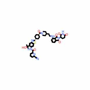 CC(C)(O)c1cc2nc([C@H]3CC[C@H](C(=O)N4CCC(CCNc5cccc6c5C(=O)N(C5CCC(=O)NC5=O)C6=O)CC4)CC3)sc2cc1NC(=O)c1cccc(C#N)n1